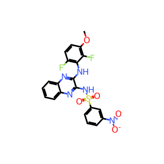 COc1ccc(F)c(Nc2nc3ccccc3nc2NS(=O)(=O)c2cccc([N+](=O)[O-])c2)c1F